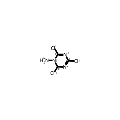 NN1C(Cl)=NC(Cl)=NC1Cl